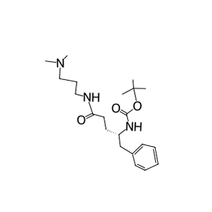 CN(C)CCCNC(=O)CC[C@@H](Cc1ccccc1)NC(=O)OC(C)(C)C